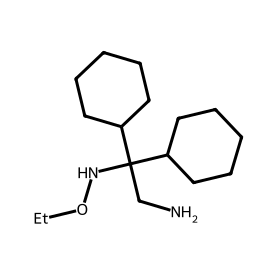 CCONC(CN)(C1CCCCC1)C1CCCCC1